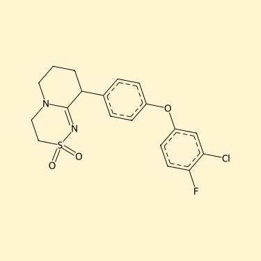 O=S1(=O)CCN2CCCC(c3ccc(Oc4ccc(F)c(Cl)c4)cc3)C2=N1